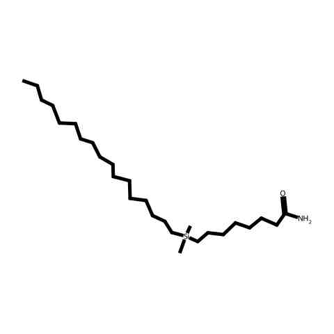 CCCCCCCCCCCCCCCCC[Si](C)(C)CCCCCCCC(N)=O